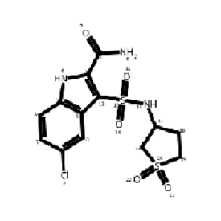 NC(=O)c1[nH]c2ccc(Cl)cc2c1S(=O)(=O)NC1CCS(=O)(=O)C1